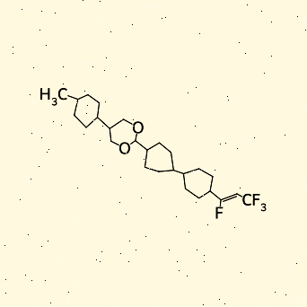 CC1CCC(C2COC(C3CCC(C4CCC(/C(F)=C/C(F)(F)F)CC4)CC3)OC2)CC1